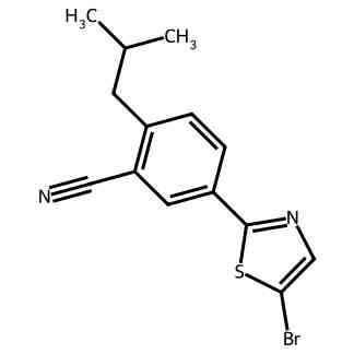 CC(C)Cc1ccc(-c2ncc(Br)s2)cc1C#N